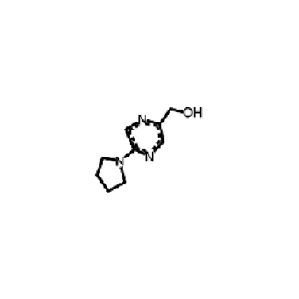 OCc1cnc(N2CCCC2)cn1